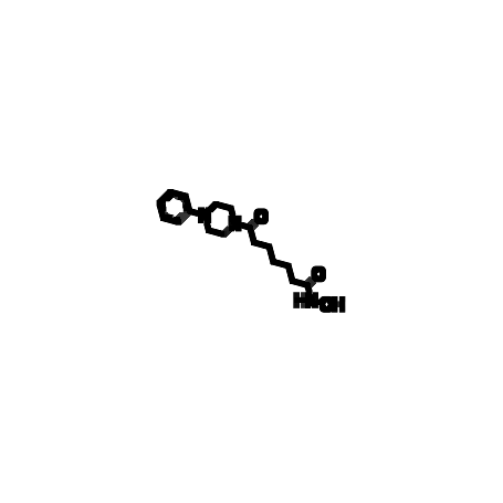 O=C(CCCCCC(=O)N1CCN(c2ccccc2)CC1)NO